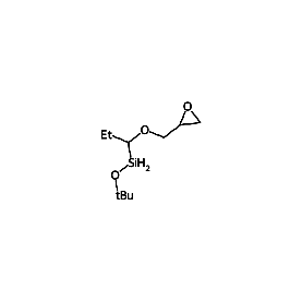 CCC(OCC1CO1)[SiH2]OC(C)(C)C